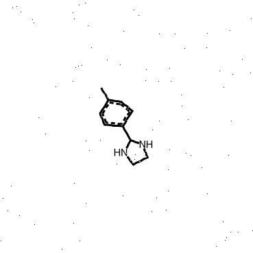 Cc1ccc(C2NCCN2)cc1